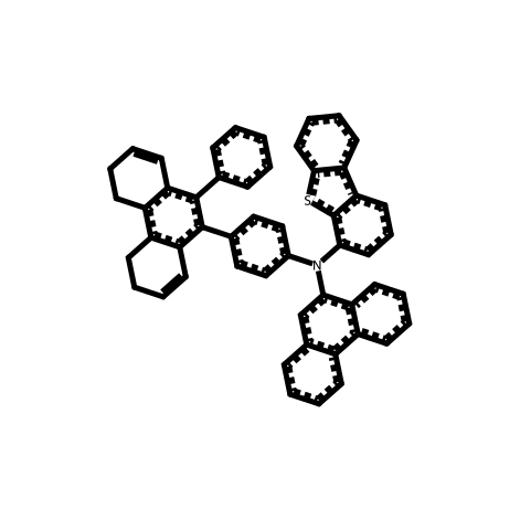 C1=Cc2c(c3c(c(-c4ccc(N(c5cc6ccccc6c6ccccc56)c5cccc6c5sc5ccccc56)cc4)c2-c2ccccc2)C=CCC3)CC1